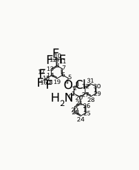 NC(C(Cl)OCc1cc(C(F)(F)F)cc(C(F)(F)F)c1)C(c1ccccc1)c1ccccc1